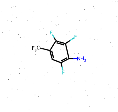 Nc1c(F)cc(C(F)(F)F)c(F)c1F